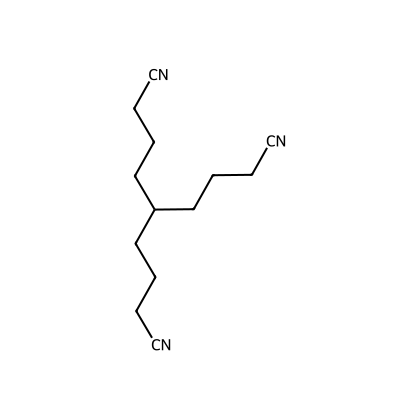 N#CCCCC(CCCC#N)CCCC#N